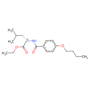 CCCCOc1ccc(C(=O)N[C@@H](CC(C)C)C(=O)OCC)cc1